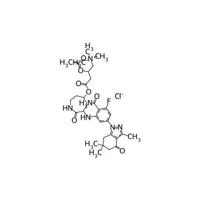 CC(=O)OC(CC(=O)OC1CCNC(=O)C(Nc2cc(-n3nc(C)c4c3CC(C)(C)CC4=O)cc(F)c2C(N)=O)C1)C[N+](C)(C)C.[Cl-]